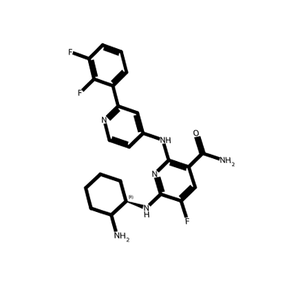 NC(=O)c1cc(F)c(N[C@@H]2CCCCC2N)nc1Nc1ccnc(-c2cccc(F)c2F)c1